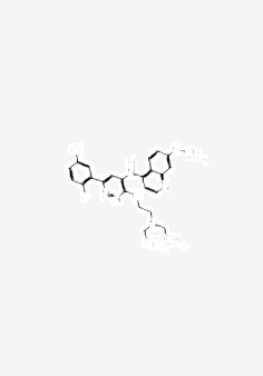 CCN(CC)CCOc1nnc(-c2cc(Cl)ccc2F)cc1Nc1ccnc2cc(OC)ccc12